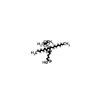 CCC(C)(C)C.CCCCCCCCCC(CCCCCCCC)OC(=O)CCCCC(=O)O